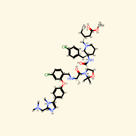 C[C@H](NCc1ccc(Cl)cc1Oc1ccc(-c2cnc(CN(C)C)n2C)cc1)C(=O)N1[C@H](C(=O)N[C@@]2(Cc3ccc(Cl)cc3)CCCN(C[C@@H](CC(=O)OC(C)(C)C)CC(F)(F)F)C2)COC1(C)C